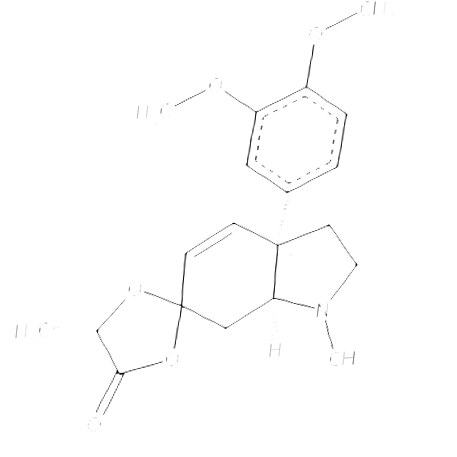 COc1ccc([C@@]23C=CC4(C[C@@H]2N(C)CC3)OC(=O)[C@H](C)O4)cc1OC